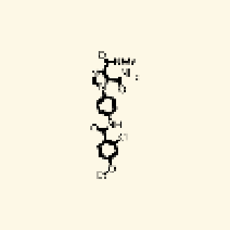 CCOc1ccc(C(=O)Nc2ccc(-n3cnc(C(=O)NC)c3C(N)=O)cc2)c(Cl)c1